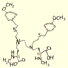 CN[C@@H](CCN(CCSCc1ccc(OC)cc1)CCN(CCSCc1ccc(OC)cc1)CC[C@H](NC)C(=O)O)C(=O)O